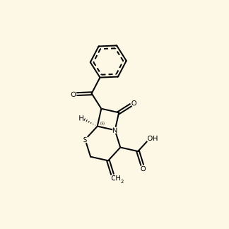 C=C1CS[C@H]2C(C(=O)c3ccccc3)C(=O)N2C1C(=O)O